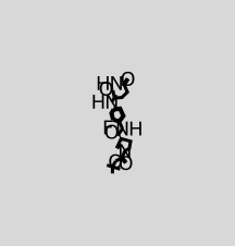 CC(C)(C)OC(=O)N1CC[C@H](C(=O)Nc2ccc(NC3CCC(=O)NC3=O)cc2F)C1